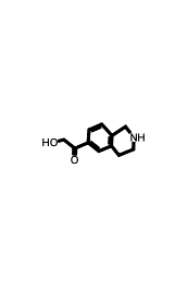 O=C(CO)c1ccc2c(c1)CCNC2